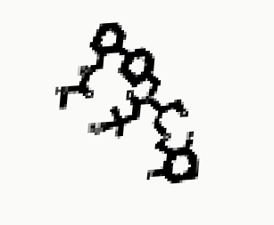 CNC(=O)NCc1ccccc1-c1ccc(CN(C(=O)CC(C)(C)N)[C@@H](C=O)COCc2c(F)cccc2F)cc1